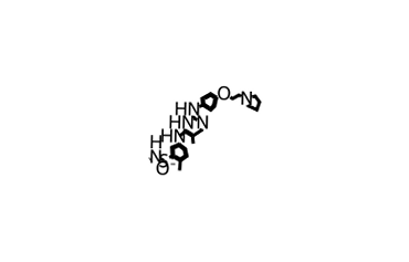 CN[S+]([O-])c1cc(NC2=C(C)C=NC(Nc3ccc(OCCN4CCCC4)cc3)N2)ccc1C